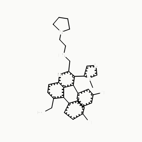 Cn1cncc1-c1c(CNCCN2CCCC2)nc2ccc(CO)c(-c3ccc(Cl)cc3)c2c1-c1cccc(Cl)c1